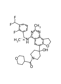 Cc1nc(N[C@H](C)c2cccc(C(F)F)c2F)c2cc(C3(O)CCN(C(=O)C4CCOCC4)CC3)c3c(c2n1)CCO3